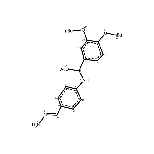 CCCCOc1ccc(C(Nc2ccc(C=NN)cc2)OC(C)=O)cc1OCCCC